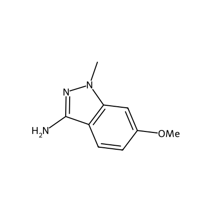 COc1ccc2c(N)nn(C)c2c1